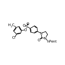 CCCCCN1CCN(c2ccc(S(=O)(=O)Oc3cc(C)cc(Cl)c3)cc2)C1=O